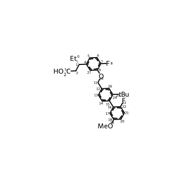 CC[C@@H](CC(=O)O)c1ccc(F)c(OCc2ccc(-c3cc(OC)ccc3F)c(C(C)(C)C)c2)c1